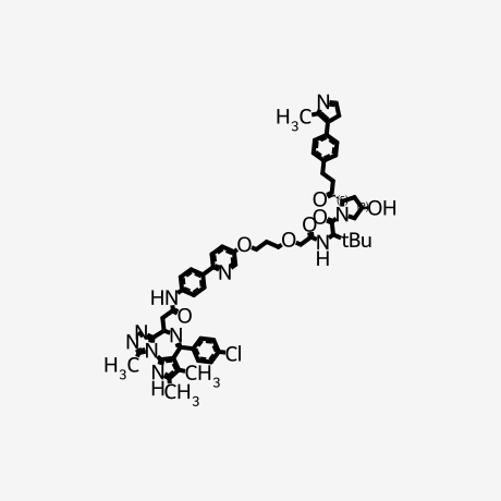 CC1=C(c2ccc(CCC(=O)[C@@H]3C[C@@H](O)CN3C(=O)C(NC(=O)COCCCOc3ccc(-c4ccc(NC(=O)CC5N=C(c6ccc(Cl)cc6)c6c([nH]c(C)c6C)-n6c(C)nnc65)cc4)nc3)C(C)(C)C)cc2)CC=N1